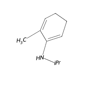 CC1=CCCC=C1NC(C)C